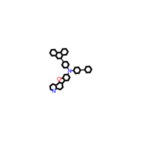 c1ccc(-c2ccc(N(c3ccc(-c4cc5ccccc5c5ccccc45)cc3)c3ccc4c(c3)oc3c5cccnc5ccc43)cc2)cc1